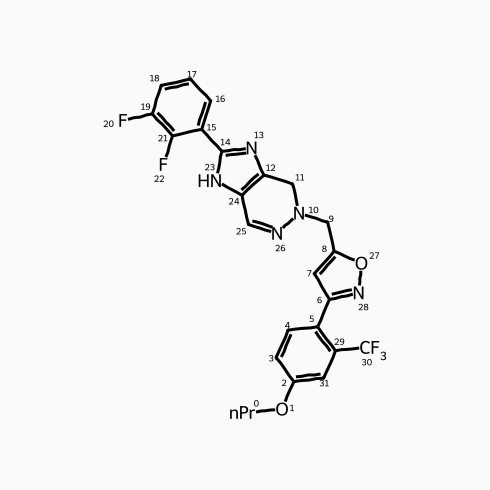 CCCOc1ccc(-c2cc(CN3Cc4nc(-c5cccc(F)c5F)[nH]c4C=N3)on2)c(C(F)(F)F)c1